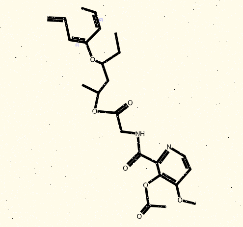 C=C/C=C(\C=C/C)OC(CC)CC(C)OC(=O)CNC(=O)c1nccc(OC)c1OC(C)=O